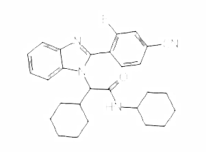 N#Cc1ccc(-c2nc3ccccc3n2C(C(=O)NC2CCCCC2)C2CCCCC2)c(F)c1